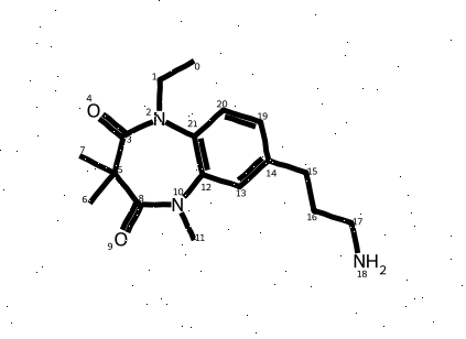 CCN1C(=O)C(C)(C)C(=O)N(C)c2cc(CCCN)ccc21